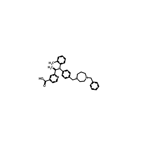 C=C(c1cc(C(=O)O)ccn1)N(c1ccc(CN2CCCN(Cc3ccccc3)CC2)cc1)c1ccccc1C